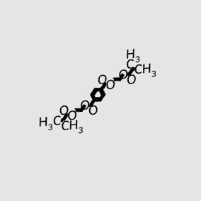 CC(C)C(=O)OCCOC(=O)c1ccc(C(=O)OCCOC(=O)C(C)C)cc1